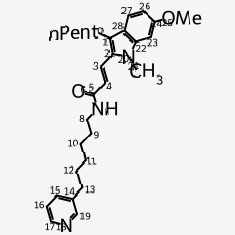 CCCCCc1c(/C=C/C(=O)NCCCCCCc2cccnc2)n(C)c2cc(OC)ccc12